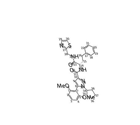 COc1cccc(OC)c1-c1cc(C(=O)N[C@@H](CCc2ccccc2)C(=O)NCc2nccs2)nn1C1CCCC1